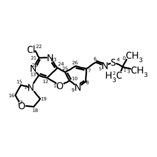 CC(C)(C)S/N=C/c1cnc2oc3c(N4CCOCC4)nc(Cl)nc3c2c1